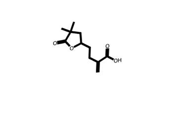 C=C(CCC1CC(C)(C)C(=O)O1)C(=O)O